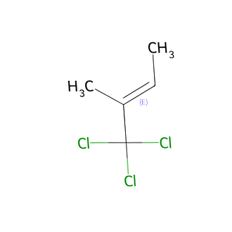 C/C=C(\C)C(Cl)(Cl)Cl